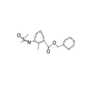 Cc1c(N=S(C)(C)=O)cccc1C(=O)OCc1ccccc1